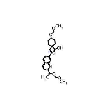 COCOC1CCC(/C=C/c2ccc3ccc([C@@H](C)OCOC)nc3c2)(C(=O)O)CC1